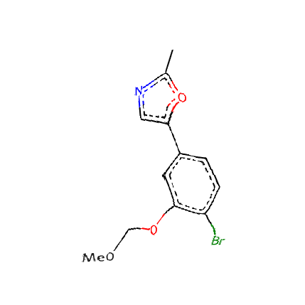 COCOc1cc(-c2cnc(C)o2)ccc1Br